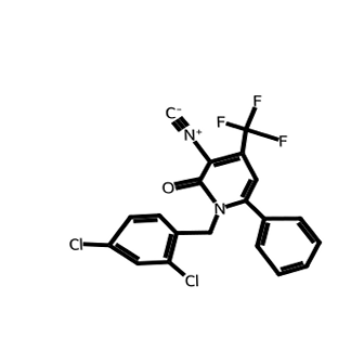 [C-]#[N+]c1c(C(F)(F)F)cc(-c2ccccc2)n(Cc2ccc(Cl)cc2Cl)c1=O